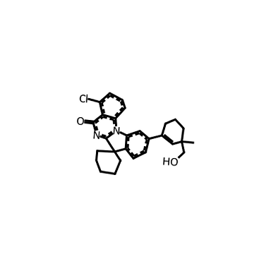 CC1(CO)C=C(c2ccc3c(c2)-n2c(nc(=O)c4c(Cl)cccc42)C32CCCCC2)CCC1